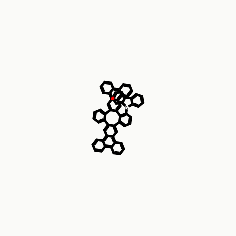 c1ccc2c(c1)-c1cc3c4ccccc4c4ccccc4c3cc1-c1cccc(-n3c4ccccc4c4ccccc43)c1-c1cc3c4ccccc4c4ccccc4c3cc1-2